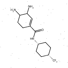 NC1C=C(C(=O)N[C@H]2CC[C@@H](C(F)(F)F)CC2)CCC1N